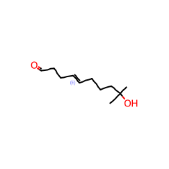 CC(C)(O)CCC/C=C/CCC=O